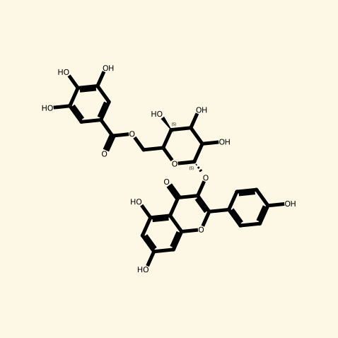 O=C(OCC1O[C@@H](Oc2c(-c3ccc(O)cc3)oc3cc(O)cc(O)c3c2=O)C(O)C(O)[C@@H]1O)c1cc(O)c(O)c(O)c1